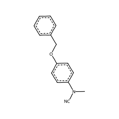 CN(C#N)c1ccc(OCc2ccccc2)cc1